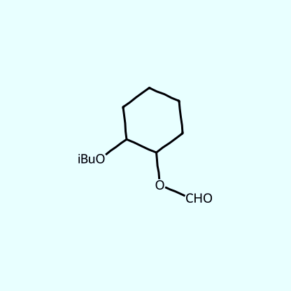 CC(C)COC1CCCCC1OC=O